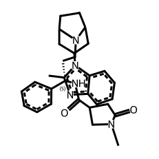 Cc1nc2ccccc2n1C1CC2CCC(C1)N2CC[C@H](NC(=O)C1CC(=O)N(C)C1)c1ccccc1